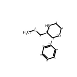 COC[C@H]1NCCO[C@@H]1c1ccccc1